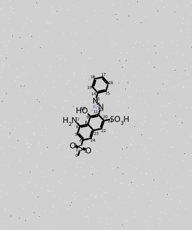 CS(=O)(=O)c1cc(N)c2c(O)c(/N=N/c3ccccc3)c(S(=O)(=O)O)cc2c1